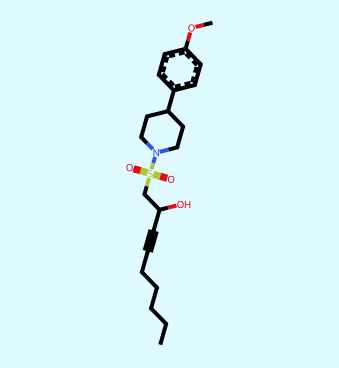 CCCCCC#C[C](O)CS(=O)(=O)N1CCC(c2ccc(OC)cc2)CC1